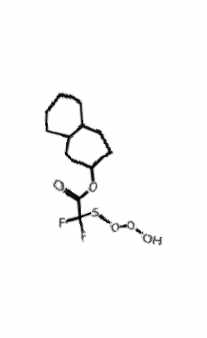 O=C(OC1CCC2CCCCC2C1)C(F)(F)SOOO